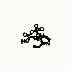 C=Cc1ncc[nH]1.O=S(=O)(O)OS(=O)(=O)O